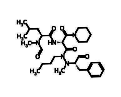 CCCCN(C(=O)[C@H](NC(=O)[C@H](CC(C)C)N(C)C=O)C(=O)N1CCCCC1)N(C)[C@H](C=O)Cc1ccccc1